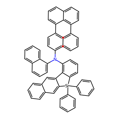 c1ccc(-c2cccc3cccc(-c4ccc(N(c5cccc6c5-c5cc7ccccc7cc5[Si]6(c5ccccc5)c5ccccc5)c5cccc6ccccc56)cc4)c23)cc1